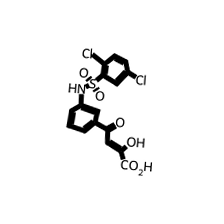 O=C(O)/C(O)=C/C(=O)c1cccc(NS(=O)(=O)c2cc(Cl)ccc2Cl)c1